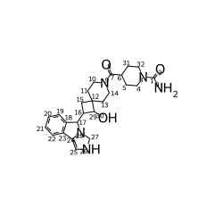 NC(=O)N1CCC(C(=O)N2CCC3(CC2)CC(C2c4ccccc4C4=CNCN42)C3O)CC1